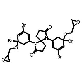 O=C1CCC2(CCC(=O)N2C2=CC(Br)=CC(Br)(OCC3CO3)C2)N1C1=CC(Br)=CC(Br)(OCC2CO2)C1